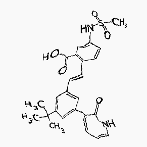 CC(C)(C)c1cc(/C=C/c2ccc(NS(C)(=O)=O)cc2C(=O)O)cc(-c2ccc[nH]c2=O)c1